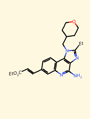 CCOC(=O)/C=C/c1ccc2c(c1)nc(N)c1nc(CC)n(CC3CCOCC3)c12